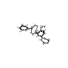 Oc1ccc(N2CCCC2)cc1N1CCC(c2ccccc2)CC1